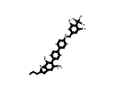 CCCc1cc2cc(P)c(-c3ccc(-c4ccc(OCc5cc(F)c(C(F)(F)F)c(F)c5)cc4)cc3)c(F)c2s1